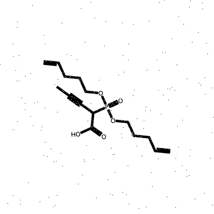 C=CCCCOP(=O)(OCCCC=C)C(C#CC)C(=O)O